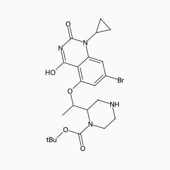 CC(Oc1cc(Br)cc2c1c(O)nc(=O)n2C1CC1)C1CNCCN1C(=O)OC(C)(C)C